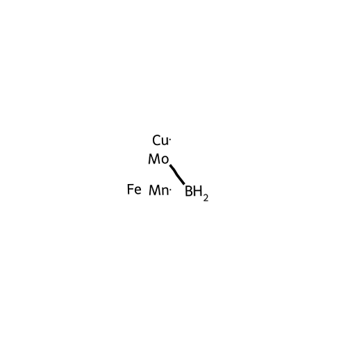 [BH2][Mo].[Cu].[Fe].[Mn]